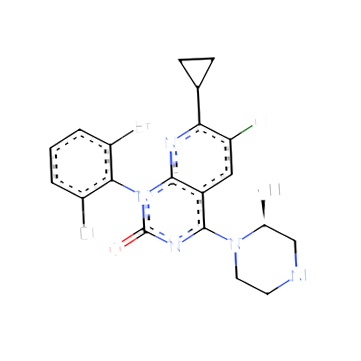 CCc1cccc(CC)c1-n1c(=O)nc(N2CCNC[C@@H]2C)c2cc(Cl)c(C3CC3)nc21